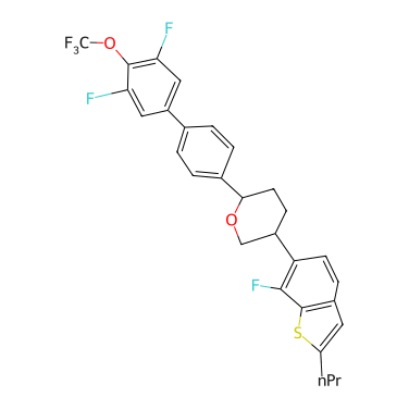 CCCc1cc2ccc(C3CCC(c4ccc(-c5cc(F)c(OC(F)(F)F)c(F)c5)cc4)OC3)c(F)c2s1